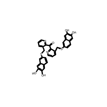 O=C(c1ncccc1CSc1ccc2cc(O)c(O)cc2c1)c1ncccc1CSc1ccc2cc(O)c(O)cc2c1